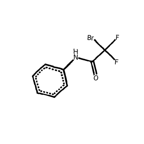 O=C(Nc1ccccc1)C(F)(F)Br